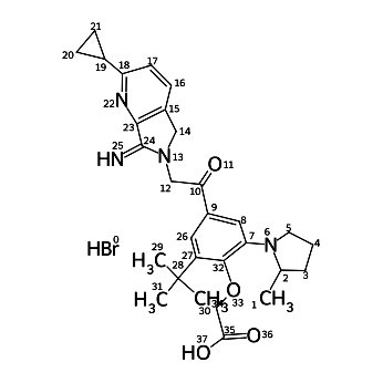 Br.CC1CCCN1c1cc(C(=O)CN2Cc3ccc(C4CC4)nc3C2=N)cc(C(C)(C)C)c1OCC(=O)O